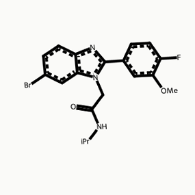 COc1cc(-c2nc3ccc(Br)cc3n2CC(=O)NC(C)C)ccc1F